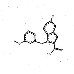 COc1cccc(Cn2c(C(=O)O)cc3cc(Cl)ccc32)c1